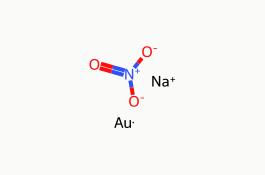 O=[N+]([O-])[O-].[Au].[Na+]